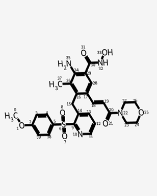 COc1ccc(S(=O)(=O)c2ncccc2Cc2c(C=CC(=O)N3CCOCC3)cc(C(=O)NO)c(N)c2C)cc1